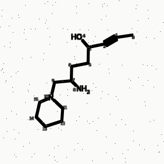 CC#CC(O)CCC(N)CN1CCCCC1